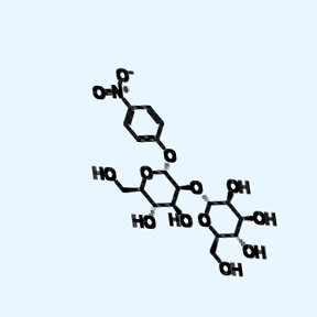 O=[N+]([O-])c1ccc(O[C@H]2O[C@H](CO)[C@@H](O)[C@H](O)[C@@H]2O[C@H]2O[C@H](CO)[C@@H](O)[C@H](O)[C@@H]2O)cc1